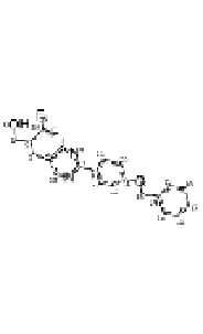 OCC(Cc1cnc(-c2ccc(OCc3ccccc3)cc2)nc1)C(F)F